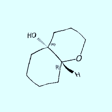 O[C@@]12CCCC[C@H]1OCCC2